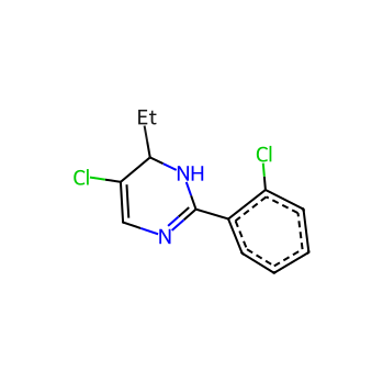 CCC1NC(c2ccccc2Cl)=NC=C1Cl